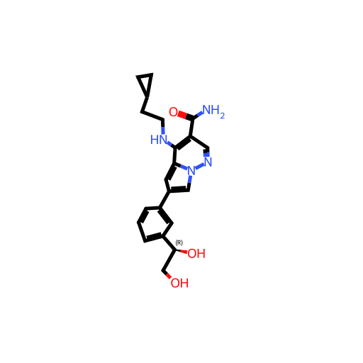 NC(=O)c1cnn2cc(-c3cccc([C@@H](O)CO)c3)cc2c1NCCC1CC1